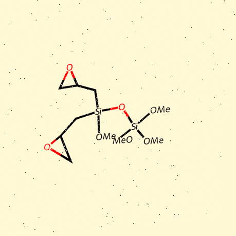 CO[Si](CC1CO1)(CC1CO1)O[Si](OC)(OC)OC